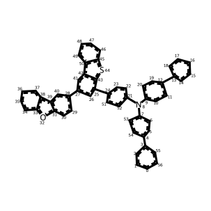 c1ccc(-c2ccc(N(c3ccc(-c4ccccc4)cc3)c3ccc(-c4cc(-c5ccc6oc7ccccc7c6c5)cc5c4sc4ccccc45)cc3)cc2)cc1